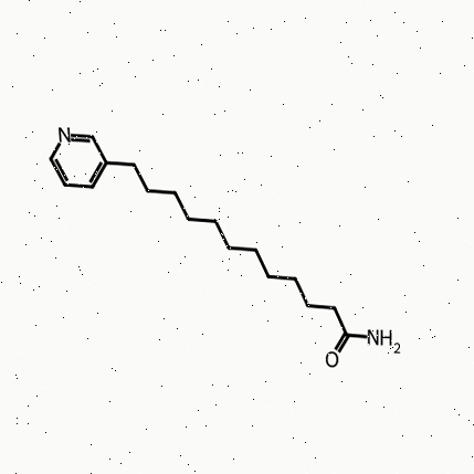 NC(=O)CCCCCCCCCCCc1cccnc1